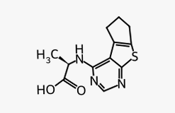 C[C@@H](Nc1ncnc2sc3c(c12)CCC3)C(=O)O